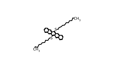 CCCCCCCCCCCSc1c2cc3ccccc3cc2c(SCCCCCCCCCC)c2cc3ccccc3cc12